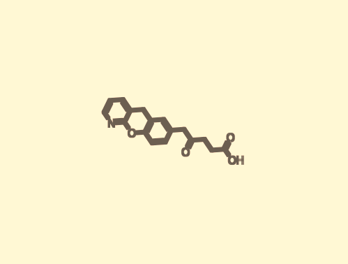 O=C(O)CCC(=O)Cc1ccc2c(c1)Cc1cccnc1O2